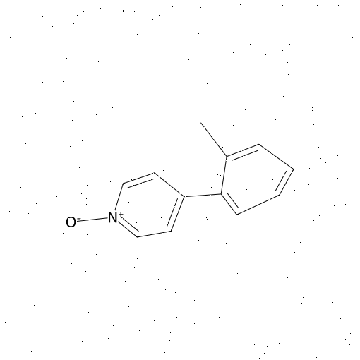 Cc1ccccc1-c1cc[n+]([O-])cc1